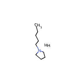 CCCCCN1CCCC1.[HH]